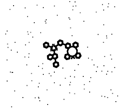 CC1(C)c2ccccc2Cc2ccccc2-c2ccc(-c3cccc(-c4nc(-c5ccccc5)nc(-c5ccc(-c6ccccc6)c6ccccc56)n4)c3)cc2Cc2ccccc21